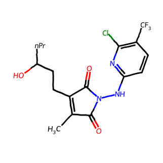 CCCC(O)CCC1=C(C)C(=O)N(Nc2ccc(C(F)(F)F)c(Cl)n2)C1=O